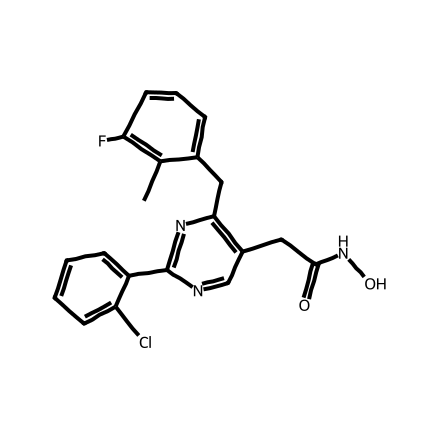 Cc1c(F)cccc1Cc1nc(-c2ccccc2Cl)ncc1CC(=O)NO